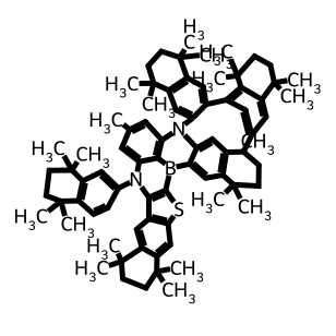 Cc1cc2c3c(c1)N(c1ccc4c(c1)C(C)(C)CCC4(C)C)c1c(sc4cc5c(cc14)C(C)(C)CCC5(C)C)B3c1cc3c4cc1N2c1cc2c(cc1-c1cc(cc5c1C(C)(C)CCC5(C)C)C4(C)CCC3(C)C)C(C)(C)CCC2(C)C